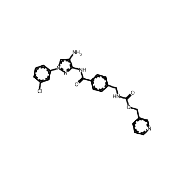 Nc1cn(-c2cccc(Cl)c2)nc1NC(=O)c1ccc(CNC(=O)OCc2cccnc2)cc1